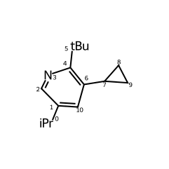 CC(C)c1cnc(C(C)(C)C)c(C2CC2)c1